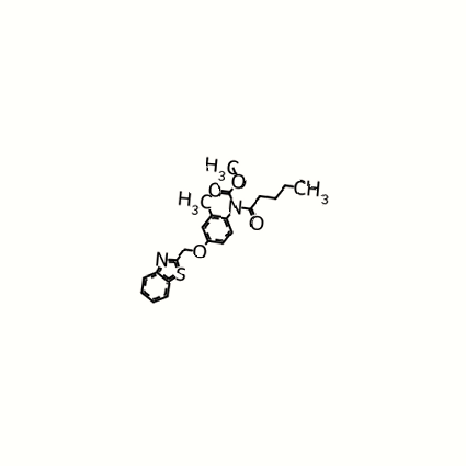 CCCCC(=O)N(C(=O)OC)c1ccc(OCc2nc3ccccc3s2)cc1C